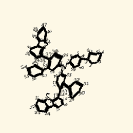 C1=CCC(c2ccc(N(c3ccc(-c4cccc5c4sc4ccccc45)c(-c4ccccc4)c3)c3ccc(-c4cccc5c4sc4ccccc45)c(-c4ccccc4)c3)cc2)C=C1